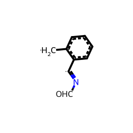 [CH2]c1ccccc1[C]=NC=O